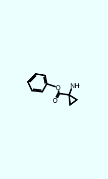 [NH]C1(C(=O)Oc2ccccc2)CC1